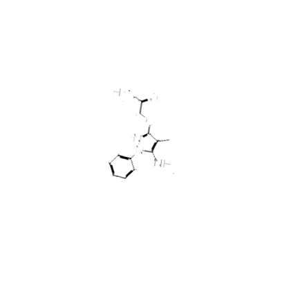 Cc1c(OCC(N)=O)nn(-c2ccccc2)c1N